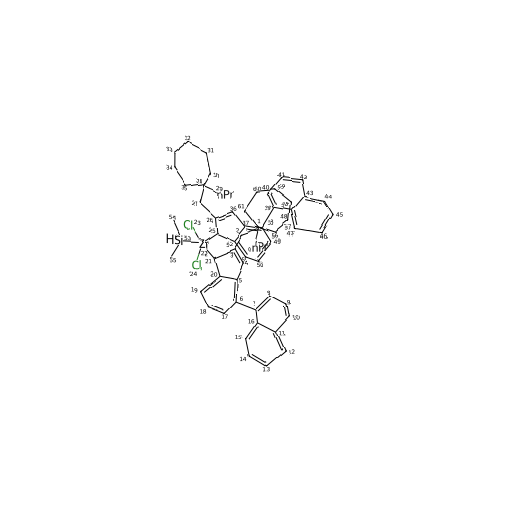 CCCC1(CC2=Cc3c(-c4cccc5ccccc45)cccc3[CH]2[Zr]([Cl])([Cl])([CH]2C(CC3(CCC)CCCCCC3)=Cc3c(-c4cccc5ccccc45)cccc32)[SiH](C)C)CCCCCC1